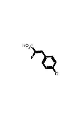 O=C(O)/C(F)=C/c1ccc(Cl)cc1